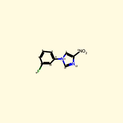 O=[N+]([O-])c1cn(-c2cccc(F)c2)cn1